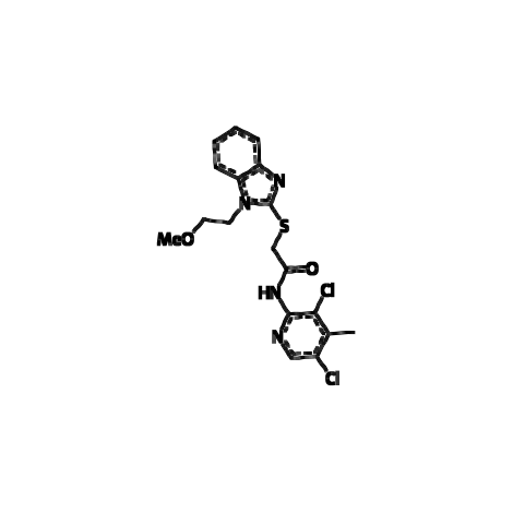 COCCn1c(SCC(=O)Nc2ncc(Cl)c(C)c2Cl)nc2ccccc21